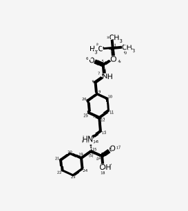 CC(C)(C)OC(=O)NCC1CCC(CN[C@H](C(=O)O)C2CCCCC2)CC1